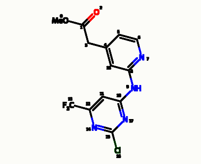 COC(=O)Cc1ccnc(Nc2cc(C(F)(F)F)nc(Cl)n2)c1